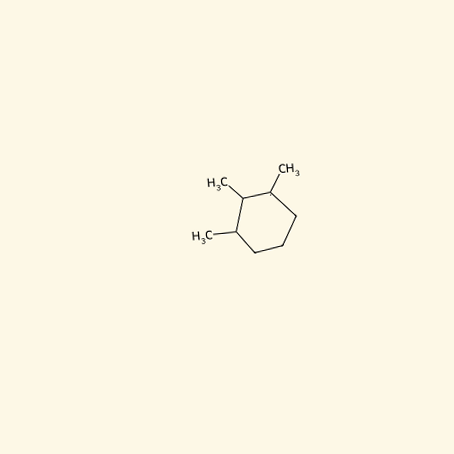 C[C]1CCCC(C)C1C